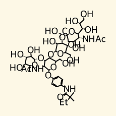 CCC(C)(C)C(=O)Nc1ccc(O[C@@H]2OC(CO)[C@@H](O[C@@H]3OC(CO)[C@H](O)[C@H](O[C@]4(C(=O)O)C[C@@H](O)[C@@H](NC(C)=O)C([C@H](O)[C@H](O)CO)O4)C3O)[C@H](O[C@@H]3OC(C)[C@@H](O)[C@H](O)C3O)C2NC(C)=O)cc1